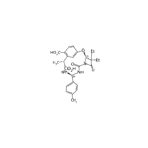 CCC[C@@H](NC(=O)N1C(=O)C(CC)(CC)[C@@H]1Oc1ccc(C(=O)O)c(C(C)C(=O)O)c1)c1ccc(C)cc1